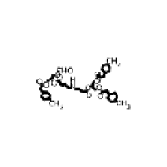 CC1CCC(CC(=O)OCC(COC=O)OC(=O)CCCNCCCC(=O)OC(COC(=O)CC2CCC(C)CC2)COC(=O)CC2CCC(C)CC2)CC1